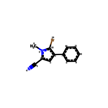 Cn1c(C#N)cc(-c2ccccc2)c1Br